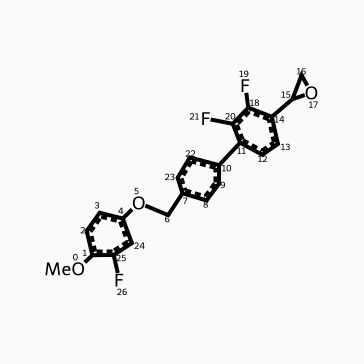 COc1ccc(OCc2ccc(-c3ccc(C4CO4)c(F)c3F)cc2)cc1F